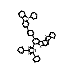 c1ccc(-c2nc(-c3ccccc3)nc(-c3cc(-c4ccc(-c5ccc6c7ccccc7n(-c7ccccc7)c6c5)cc4)cc4c3sc3ccc5c6ccccc6sc5c34)n2)cc1